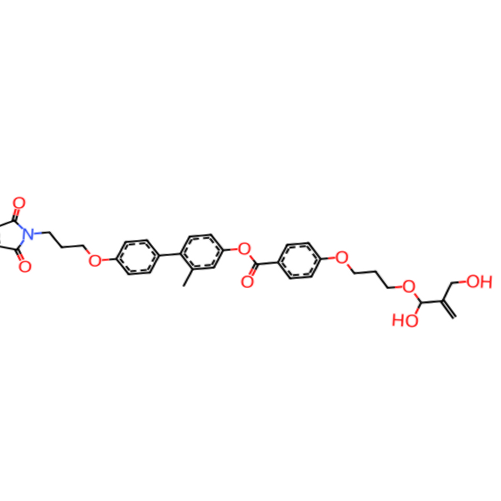 C=C(CO)C(O)OCCCOc1ccc(C(=O)Oc2ccc(-c3ccc(OCCCN4C(=O)C=CC4=O)cc3)c(C)c2)cc1